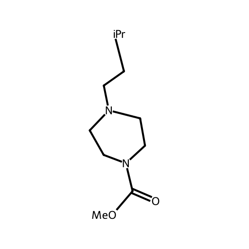 COC(=O)N1CCN(CCC(C)C)CC1